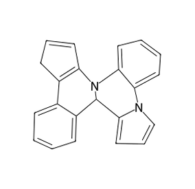 C1=CC2=C(C1)c1ccccc1C1c3cccn3-c3ccccc3N21